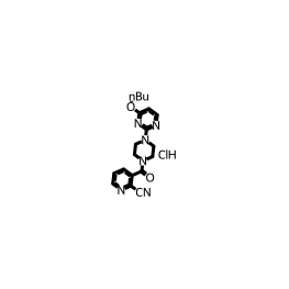 CCCCOc1ccnc(N2CCN(C(=O)c3cccnc3C#N)CC2)n1.Cl